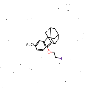 CC(=O)Oc1cccc(C23CC4CC(CC(C4)C2=COCCI)C3)c1